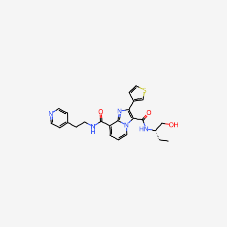 CC[C@@H](CO)NC(=O)c1c(-c2ccsc2)nc2c(C(=O)NCCc3ccncc3)cccn12